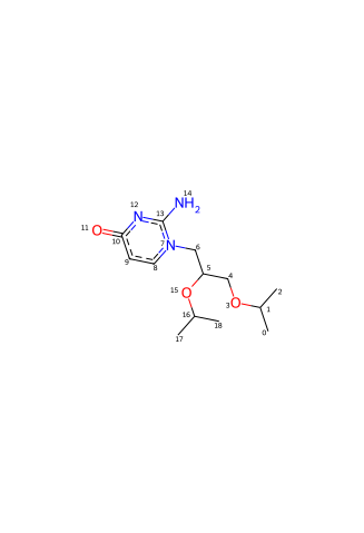 CC(C)OCC(Cn1ccc(=O)nc1N)OC(C)C